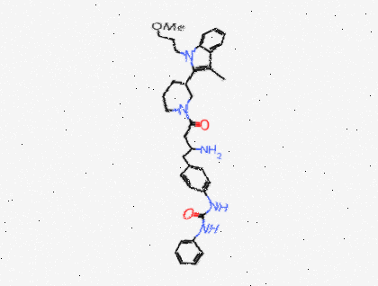 COCCCn1c(C2CCCN(C(=O)CC(N)Cc3ccc(NC(=O)Nc4ccccc4)cc3)C2)c(C)c2ccccc21